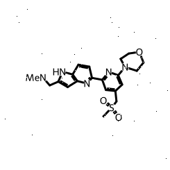 CNCc1cc2nc(-c3cc(CS(C)(=O)=O)cc(N4CCOCC4)n3)ccc2[nH]1